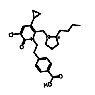 CCCC[C@H]1CCCN1Cc1c(C2CC2)cc(Cl)c(=O)n1CCc1ccc(C(=O)O)cc1